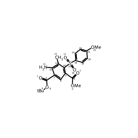 COC(=O)c1cc(C(=O)OC(C)(C)C)c(N)c(C)c1S(=O)(=O)c1ccc(OC)cc1